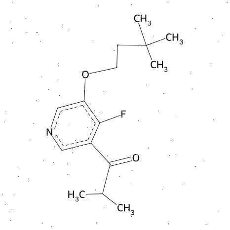 CC(C)C(=O)c1cncc(OCCC(C)(C)C)c1F